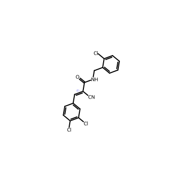 N#C/C(=C\c1ccc(Cl)c(Cl)c1)C(=O)NCc1ccccc1Cl